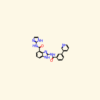 O=C(Nc1nc2c(C(=O)Nc3ncc[nH]3)cccc2[nH]1)c1cccc(-c2cccnc2)c1